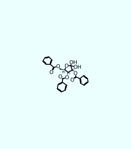 O=C(OC[C@H]1OC(O)(O)[C@H](OC(=O)c2ccccc2)[C@@H]1OC(=O)c1ccccc1)c1ccccc1